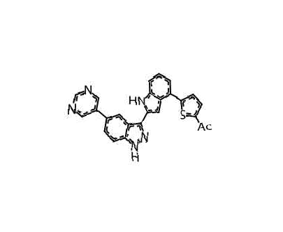 CC(=O)c1ccc(-c2cccc3[nH]c(-c4n[nH]c5ccc(-c6cncnc6)cc45)cc23)s1